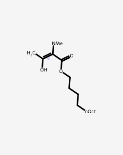 [CH2-][NH2+]/C(C(=O)OCCCCCCCCCCCC)=C(\C)O